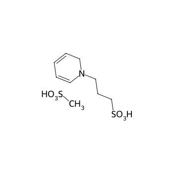 CS(=O)(=O)O.O=S(=O)(O)CCCN1C=CC=CC1